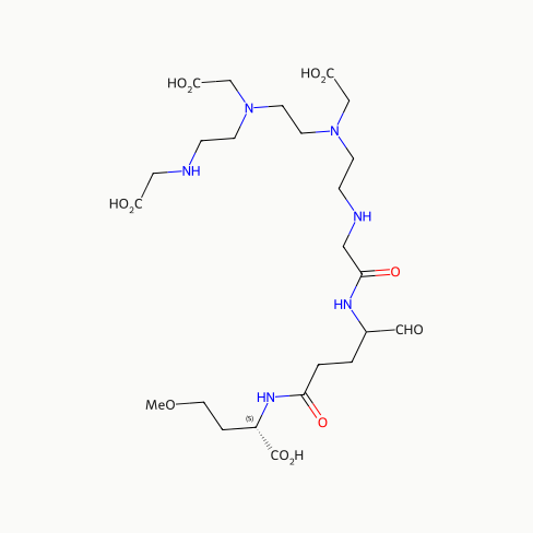 COCC[C@H](NC(=O)CCC(C=O)NC(=O)CNCCN(CCN(CCNCC(=O)O)CC(=O)O)CC(=O)O)C(=O)O